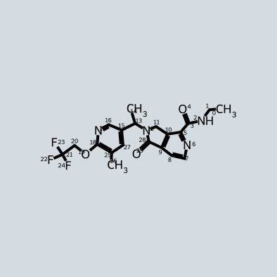 CCNC(=O)c1nccc2c1CN(C(C)c1cnc(OCC(F)(F)F)c(C)c1)C2=O